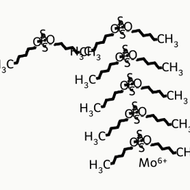 CCCCCCOP(=S)([S-])OCCCCCC.CCCCCCOP(=S)([S-])OCCCCCC.CCCCCCOP(=S)([S-])OCCCCCC.CCCCCCOP(=S)([S-])OCCCCCC.CCCCCCOP(=S)([S-])OCCCCCC.CCCCCCOP(=S)([S-])OCCCCCC.[Mo+6]